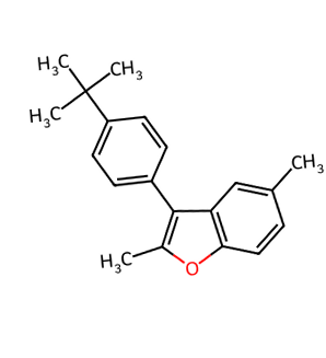 Cc1ccc2oc(C)c(-c3ccc(C(C)(C)C)cc3)c2c1